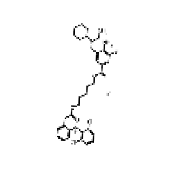 CCN(Cc1cc(C(=O)OCCCCCOC(=O)Cc2ccccc2Nc2c(Cl)cccc2Cl)cc(Br)c1N)C1CCCCC1.Cl